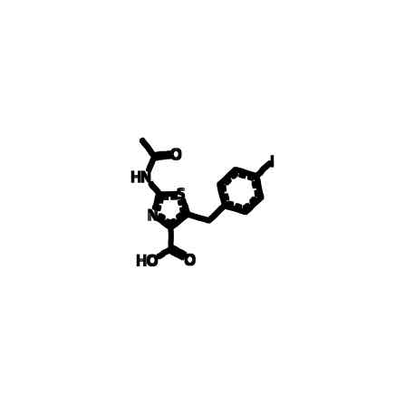 CC(=O)Nc1nc(C(=O)O)c(Cc2ccc(I)cc2)s1